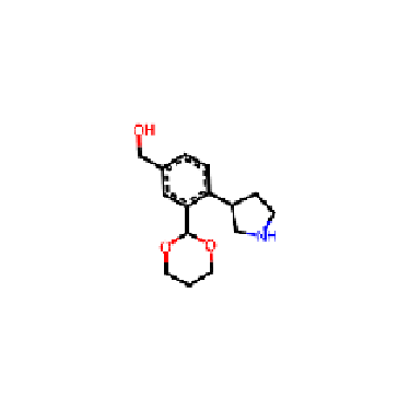 OCc1ccc(C2CCNC2)c(C2OCCCO2)c1